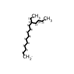 [CH2]CCCCCCCCCC(CC)CCCC